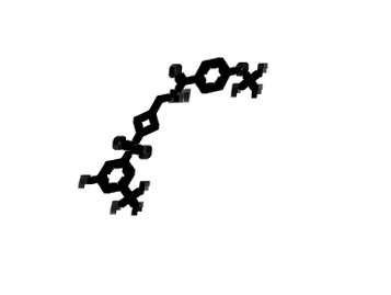 O=C(NCC1CC(S(=O)(=O)c2cc(F)cc(C(F)(F)F)c2)C1)c1ccc(OC(F)(F)F)cc1